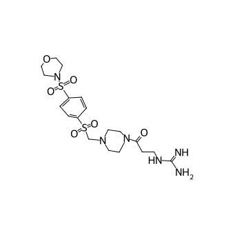 N=C(N)NCCC(=O)N1CCN(CS(=O)(=O)c2ccc(S(=O)(=O)N3CCOCC3)cc2)CC1